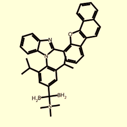 BC(B)(c1cc(C(C)C)c(-n2c(-c3cccc4c3oc3c5ccccc5ccc43)nc3ccccc32)c(C(C)C)c1)S(C)(C)C